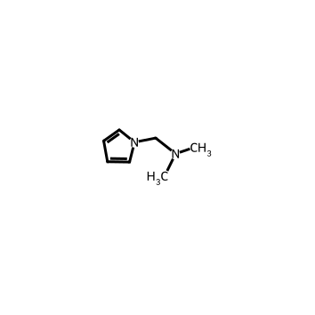 CN(C)Cn1cccc1